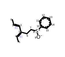 C/C=C/C(=C/C)CC[S+]([O-])c1ccccc1